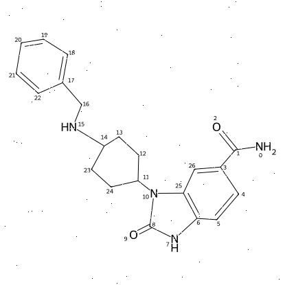 NC(=O)c1ccc2[nH]c(=O)n(C3CCC(NCc4ccccc4)CC3)c2c1